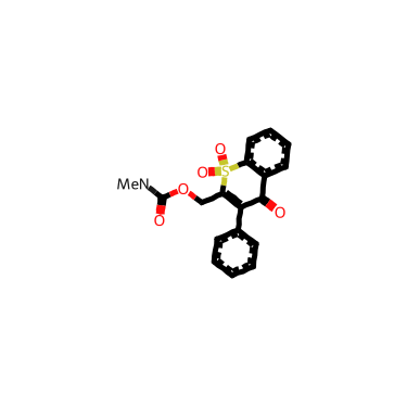 CNC(=O)OCC1=C(c2ccccc2)C(=O)c2ccccc2S1(=O)=O